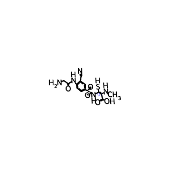 CN/C(C(=O)O)=C(\S)NS(=O)(=O)c1ccc(NC(=O)CN)c(C#N)c1